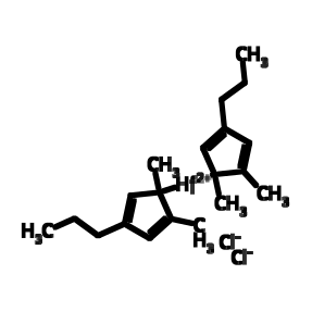 CCCC1=C[C](C)([Hf+2][C]2(C)C=C(CCC)C=C2C)C(C)=C1.[Cl-].[Cl-]